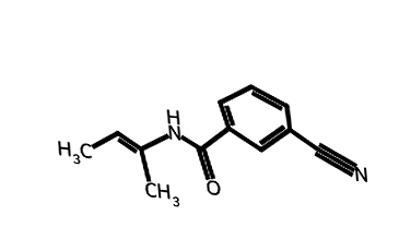 C/C=C(\C)NC(=O)c1cccc(C#N)c1